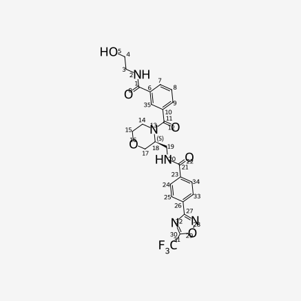 O=C(NCCO)c1cccc(C(=O)N2CCOC[C@@H]2CNC(=O)c2ccc(-c3noc(C(F)(F)F)n3)cc2)c1